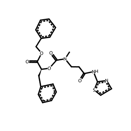 CN(CCC(=O)Nc1nccs1)C(=O)O[C@@H](Cc1ccccc1)C(=O)OCc1ccccc1